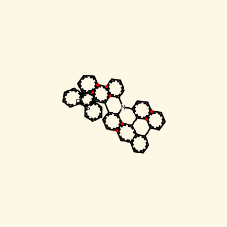 c1ccc(-c2cccc3cccc(-c4ccccc4N(c4cccc(-c5cccc6oc7ccccc7c56)c4)c4ccccc4-c4cccc5c4sc4ccccc45)c23)cc1